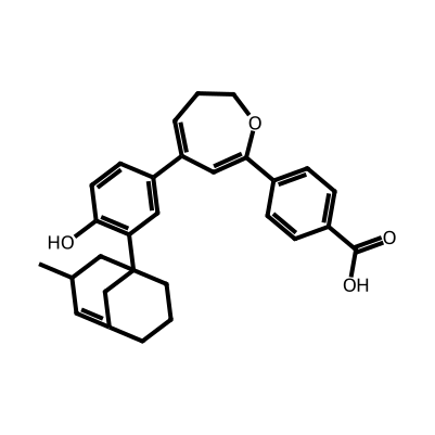 CC1C=C2CCCC(c3cc(C4=CCCOC(c5ccc(C(=O)O)cc5)=C4)ccc3O)(C2)C1